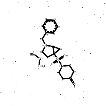 CC(C)(C)OC=O.O=C1CCN(S(=O)(=O)C23CCN(Cc4ccccc4)C2C3)CC1